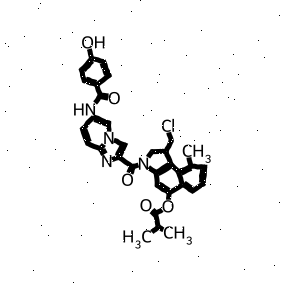 Cc1cccc2c(OC(=O)C(C)C)cc3c(c12)C(CCl)CN3C(=O)c1cn2cc(NC(=O)c3ccc(O)cc3)ccc2n1